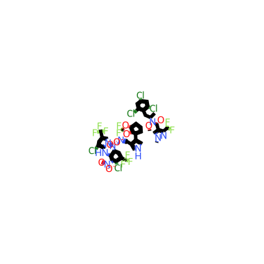 CON(C(=O)c1cn(C)nc1C(F)F)C(C)Cc1c(Cl)cc(Cl)cc1Cl.N#Cc1c[nH]cc1-c1cccc2c1OC(F)(F)O2.O=[N+]([O-])c1cc(C(F)(F)F)c(Cl)c([N+](=O)[O-])c1Nc1ncc(C(F)(F)F)cc1Cl